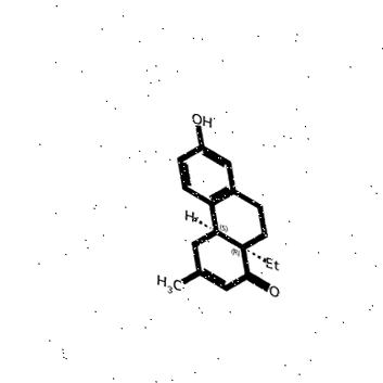 CC[C@@]12CCc3cc(O)ccc3[C@@H]1CC(C)=CC2=O